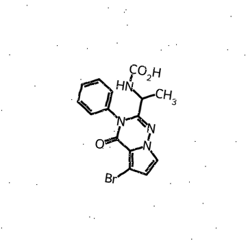 CC(NC(=O)O)c1nn2ccc(Br)c2c(=O)n1-c1ccccc1